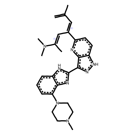 C=C(C)/C=C(\C=C(/C)N(C)C)c1ccc2[nH]nc(-c3nc4c(N5CCN(C)CC5)cccc4[nH]3)c2n1